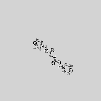 O=C(/C=C/C(=O)OCN1CCOCC1)OCN1CCOCC1